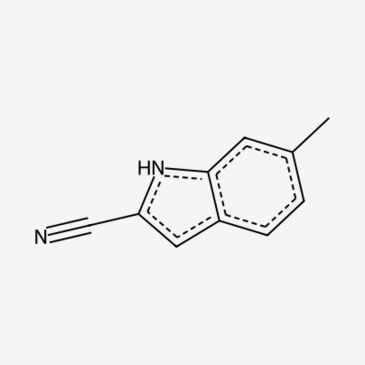 Cc1ccc2cc(C#N)[nH]c2c1